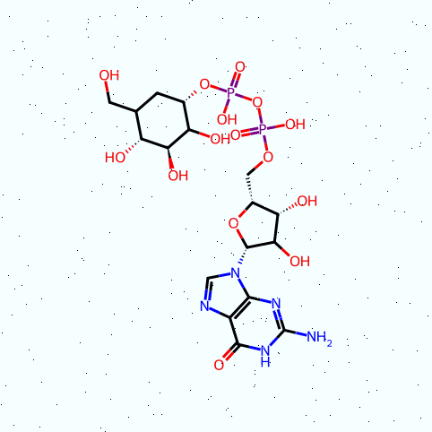 Nc1nc2c(ncn2[C@@H]2O[C@H](COP(=O)(O)OP(=O)(O)O[C@H]3CC(CO)[C@@H](O)[C@H](O)C3O)[C@H](O)C2O)c(=O)[nH]1